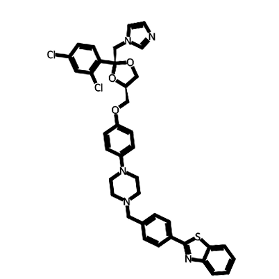 Clc1ccc([C@]2(Cn3ccnc3)OC[C@@H](COc3ccc(N4CCN(Cc5ccc(-c6nc7ccccc7s6)cc5)CC4)cc3)O2)c(Cl)c1